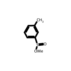 COS(=O)c1cccc(C)c1